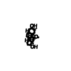 CO[C@H]1C[C@]2(C)C(O)CC[C@H]2[C@@H]2CC[C@H]3C[C@H](O)[C@H](C)C[C@]3(C)[C@H]21